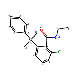 CCNC(=O)c1c(Cl)cccc1[Si](C)(C)c1ccccc1